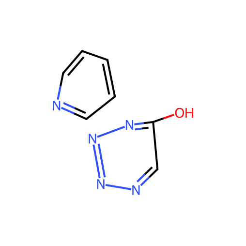 Oc1cnnnn1.c1ccncc1